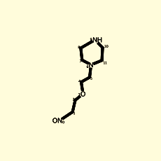 O=NCCOCCN1CCNCC1